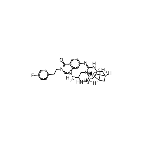 C[C@H]1CN(C(=Nc2ccc3c(=O)n(CCc4ccc(F)cc4)cnc3c2)NC2C[C@@H]3C[C@@H]([C@H]2C)C3(C)C)CCN1